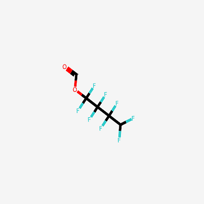 O=[C]OC(F)(F)C(F)(F)C(F)(F)C(F)F